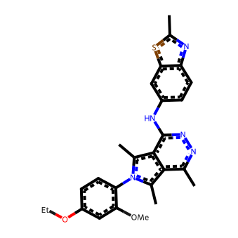 CCOc1ccc(-n2c(C)c3c(C)nnc(Nc4ccc5nc(C)sc5c4)c3c2C)c(OC)c1